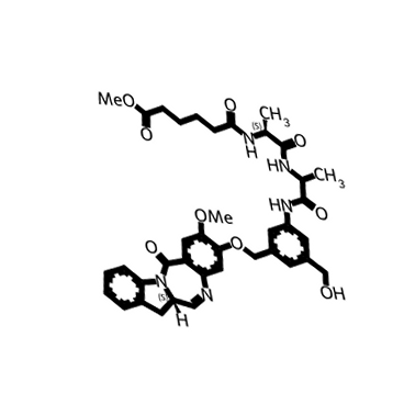 COC(=O)CCCCC(=O)N[C@@H](C)C(=O)NC(C)C(=O)Nc1cc(CO)cc(COc2cc3c(cc2OC)C(=O)N2c4ccccc4C[C@H]2C=N3)c1